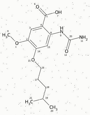 COc1cc(C(=O)O)c(NC(N)=O)cc1OCCCC(C)C